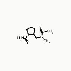 CC(=O)N(C)CC1CCCN1C(N)=O